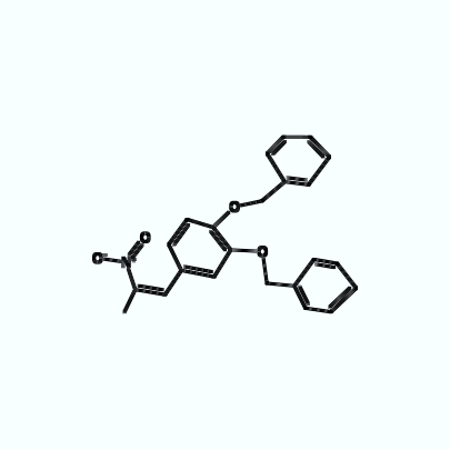 CC(=Cc1ccc(OCc2ccccc2)c(OCc2ccccc2)c1)[N+](=O)[O-]